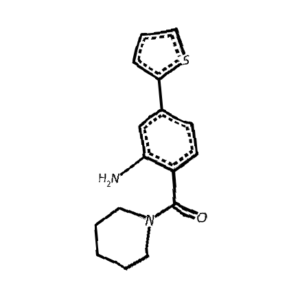 Nc1cc(-c2cccs2)ccc1C(=O)N1CCCCC1